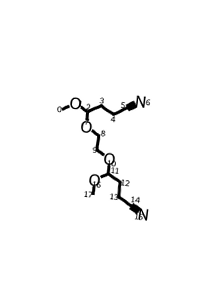 COC(CCC#N)OCCOC(CCC#N)OC